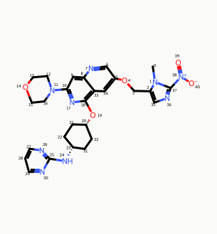 Cn1c(COc2cnc3cc(N4CCOCC4)nc(O[C@H]4CC[C@@H](Nc5ncccn5)CC4)c3c2)cnc1[N+](=O)[O-]